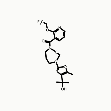 Cc1oc(N2CCCN(C(=O)c3cccnc3OCC(F)(F)F)CC2)nc1C(C)(C)O